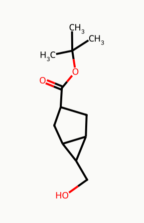 CC(C)(C)OC(=O)C1CC2C(CO)C2C1